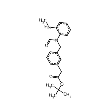 CNc1ccccc1N(C=O)Cc1cccc(CC(=O)OC(C)(C)C)c1